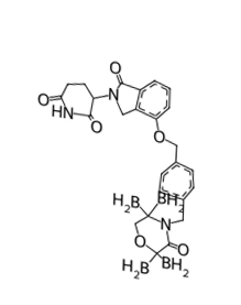 BC1(B)OCC(B)(B)N(Cc2ccc(COc3cccc4c3CN(C3CCC(=O)NC3=O)C4=O)cc2)C1=O